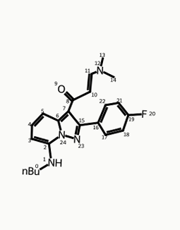 CCCCNc1cccc2c(C(=O)C=CN(C)C)c(-c3ccc(F)cc3)nn12